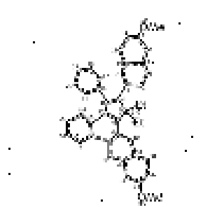 CC[Si]1(CC)C(c2ccc3cc(OC)ccc3c2)=C(c2ccccc2)C(c2ccccc2)=C1c1ccc2cc(OC)ccc2c1